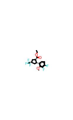 CCOC(=O)[C@@H]1C[C@@H](C(F)(F)F)C[C@H]1c1ccc(F)c(F)c1OC